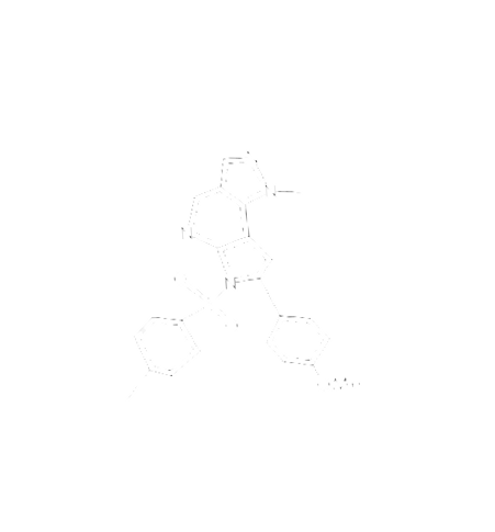 COc1ccc(-c2cc3c4c(cnc3n2S(=O)(=O)c2ccc(C)cc2)cnn4C)cc1